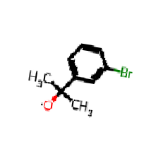 CC(C)([O])c1cccc(Br)c1